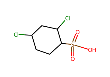 O=S(=O)(O)C1CCC(Cl)CC1Cl